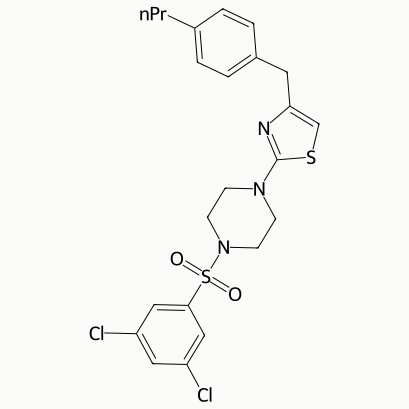 CCCc1ccc(Cc2csc(N3CCN(S(=O)(=O)c4cc(Cl)cc(Cl)c4)CC3)n2)cc1